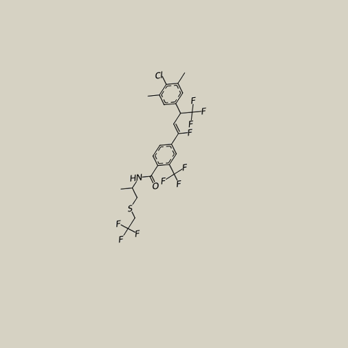 Cc1cc(C(/C=C(\F)c2ccc(C(=O)NC(C)CSCC(F)(F)F)c(C(F)(F)F)c2)C(F)(F)F)cc(C)c1Cl